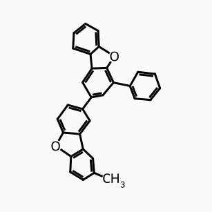 Cc1ccc2oc3ccc(-c4cc(-c5ccccc5)c5oc6ccccc6c5c4)cc3c2c1